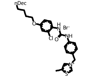 CCCCCCCCCCCCCCOc1ccc(NC(=O)Nc2ccc(C[n+]3csc(C)c3)cc2)c(Cl)c1.[Br-]